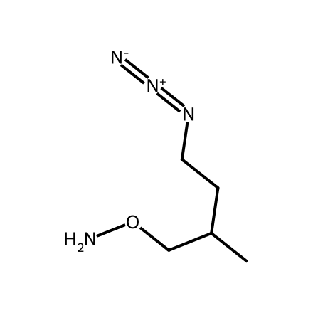 CC(CCN=[N+]=[N-])CON